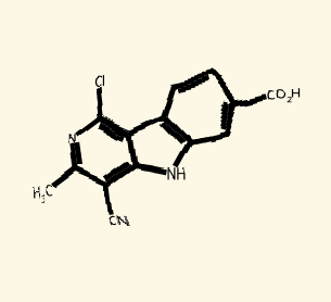 Cc1nc(Cl)c2c([nH]c3cc(C(=O)O)ccc32)c1C#N